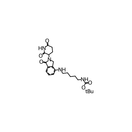 CC(C)(C)OC(=O)NCCCCCNc1cccc2c1CN(C1CCC(=O)NC1=O)C2=O